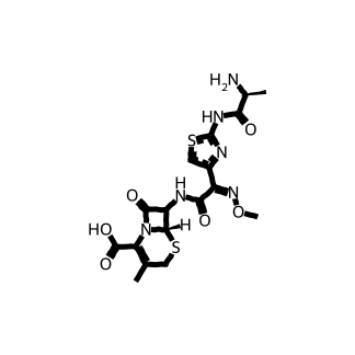 CO/N=C(\C(=O)NC1C(=O)N2C(C(=O)O)=C(C)CS[C@@H]12)c1csc(NC(=O)[C@H](C)N)n1